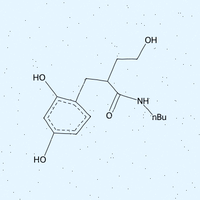 CCCCNC(=O)C(CCO)Cc1ccc(O)cc1O